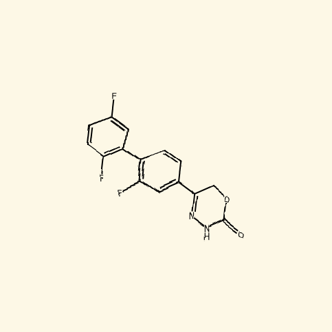 O=C1NN=C(c2ccc(-c3cc(F)ccc3F)c(F)c2)CO1